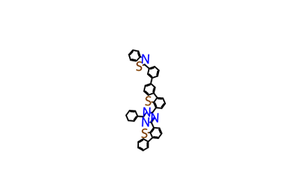 C1=CC(c2nc(-c3cccc4c3sc3ccccc34)nc(-c3cccc4c3sc3ccc(-c5cccc(-c6nc7ccccc7s6)c5)cc34)n2)=CCC1